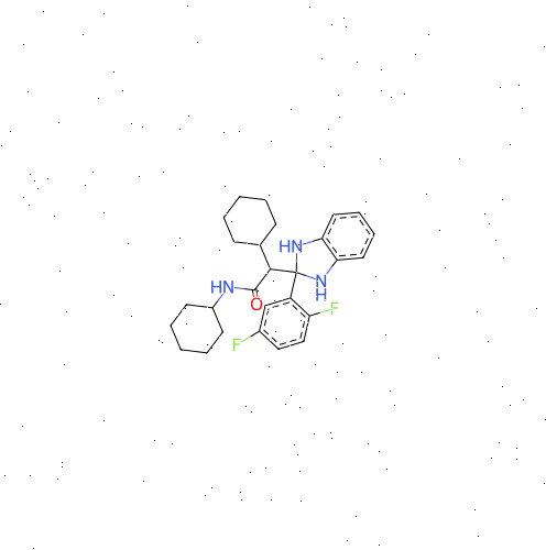 O=C(NC1CCCCC1)C(C1CCCCC1)C1(c2cc(F)ccc2F)Nc2ccccc2N1